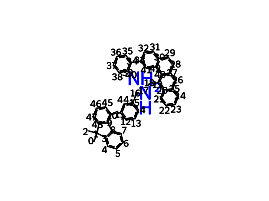 CC1(C)c2ccccc2-c2c(-c3cccc(CNCc4c5ccccc5cc5ccc6ccc(-c7ccccc7N)cc6c45)c3)cccc21